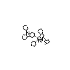 c1ccc(-c2nn3c(-c4cccs4)cc4ccccc4c3c2-c2ccc3c(c2)c2ccccc2n3-c2ccccc2)cc1